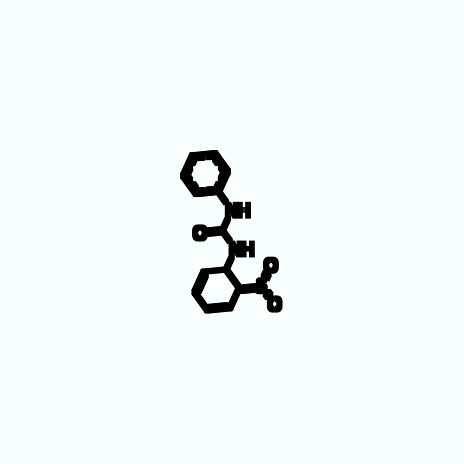 O=C(Nc1ccccc1)NC1C=CC=CC1=S(=O)=O